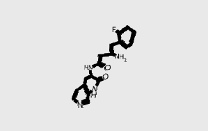 NC(CC(=O)NC1Cc2ccncc2NC1=O)Cc1ccccc1F